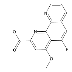 COC(=O)c1cc(OC)c2c(F)cc3cccnc3c2n1